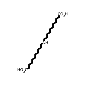 O=C(O)CCCCCCCCCCNCCCCCCCCCCC(=O)O